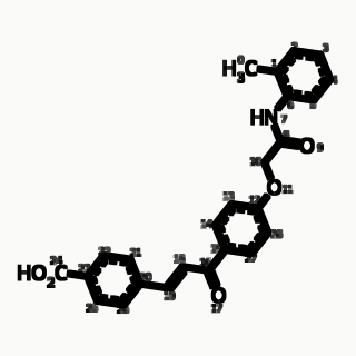 Cc1ccccc1NC(=O)COc1ccc(C(=O)/C=C/c2ccc(C(=O)O)cc2)cc1